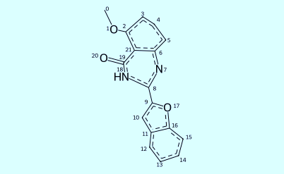 COc1cccc2nc(-c3cc4ccccc4o3)[nH]c(=O)c12